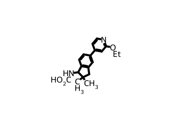 CCOc1cc(-c2ccc3c(c2)CC(C)(C)C3NC(=O)O)ccn1